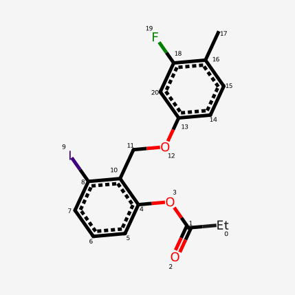 CCC(=O)Oc1cccc(I)c1COc1ccc(C)c(F)c1